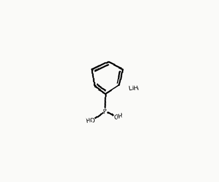 OP(O)c1ccccc1.[LiH]